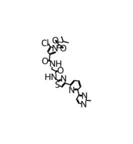 Cc1nccc(-c2cccc(-c3csc(NC(=O)CNC(=O)c4cc(Cl)n(S(=O)(=O)C(C)C)c4)n3)n2)n1